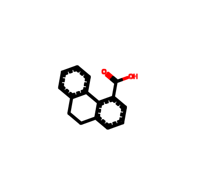 O=C(O)c1cccc2c1-c1ccccc1CC2